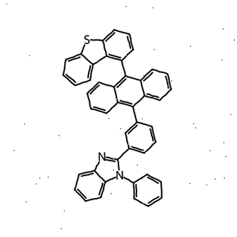 c1ccc(-n2c(-c3cccc(-c4c5ccccc5c(-c5cccc6sc7ccccc7c56)c5ccccc45)c3)nc3ccccc32)cc1